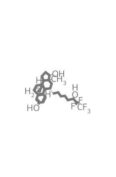 C=CC12CCc3cc(O)ccc3[C@H]1[C@@H](CCCCC[C@H](O)C(F)(F)C(F)(F)F)C[C@]1(C)[C@@H](O)CC[C@@H]21